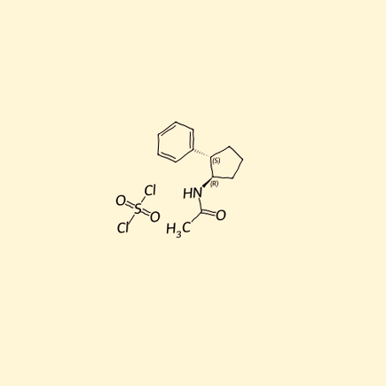 CC(=O)N[C@@H]1CCC[C@H]1c1ccccc1.O=S(=O)(Cl)Cl